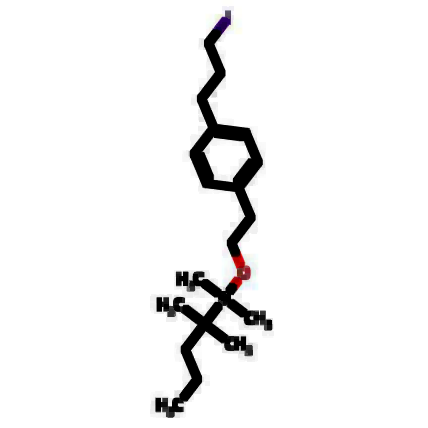 CCCC(C)(C)[Si](C)(C)OCCc1ccc(CCCI)cc1